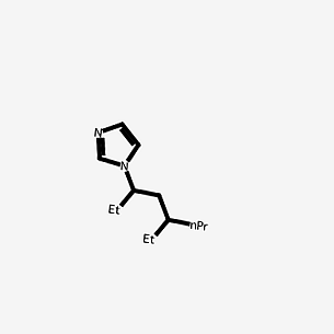 CCCC(CC)CC(CC)n1ccnc1